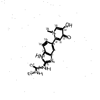 CCNC(=O)Nc1nc2cc(-c3cc(=O)c(O)cn3C)ccc2[nH]1